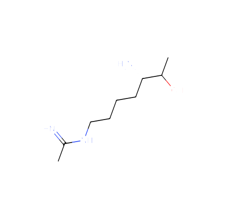 CC(=N)NCCCC[C@H](N)C(C)O